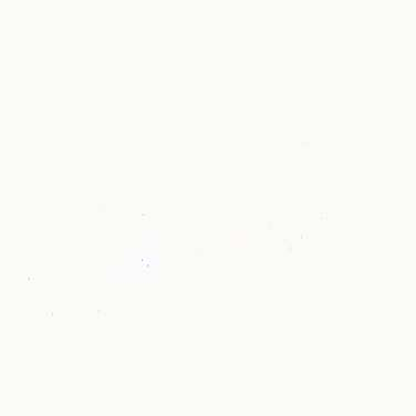 Cc1ccc(C)c(C(C)(C)CC(O)(Cc2cc3ccccc3[nH]2)C(F)(F)F)c1